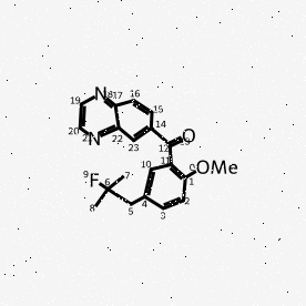 COc1ccc(CC(C)(C)F)cc1C(=O)c1ccc2nccnc2c1